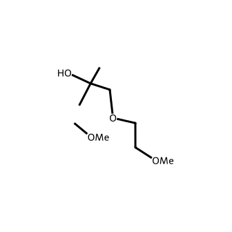 COC.COCCOCC(C)(C)O